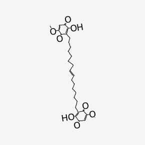 COC1=CC(=O)C(O)=C(CCCCCCCC=CCCCCCCCC2=C(O)C(=O)C=C(OC)C2=O)C1=O